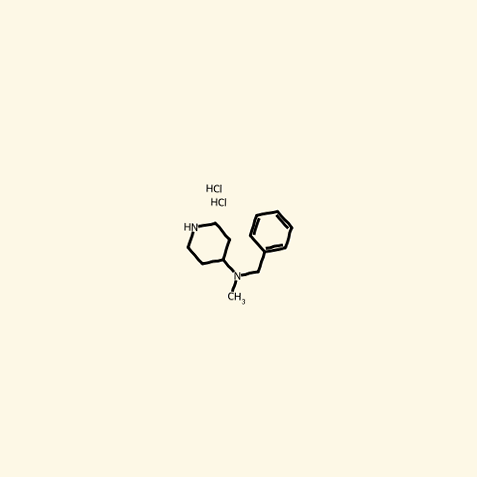 CN(Cc1ccccc1)C1CCNCC1.Cl.Cl